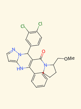 COCC1CCCN1C(=O)C1=C(c2ccccc2)Nc2ccnn2C1c1ccc(Cl)c(Cl)c1